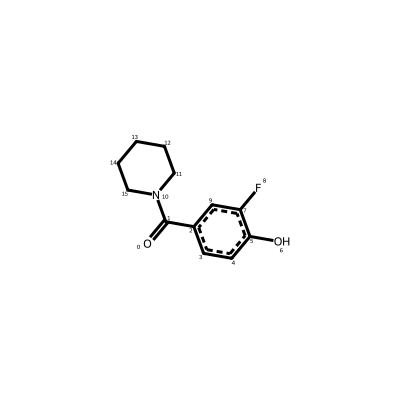 O=C(c1ccc(O)c(F)c1)N1CCCCC1